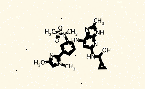 Cc1cn(C)c(-c2ccc(Nc3cc(NC(O)C4CC4)nc4[nH]c(C)nc34)c(N(C)S(C)(=O)=O)c2)n1